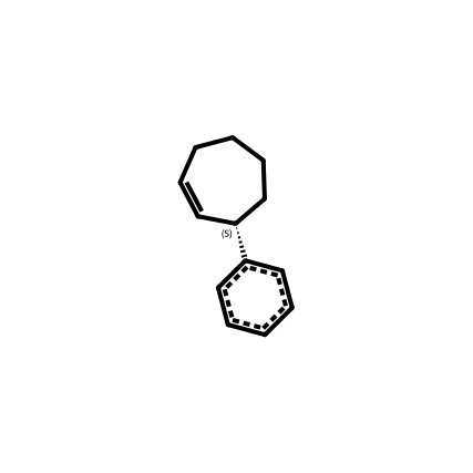 C1=C[C@@H](c2ccccc2)CCCC1